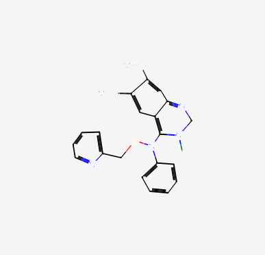 COc1cc2c(cc1OC)=C(N(OCc1ccccn1)c1ccccc1)N(F)CN=2